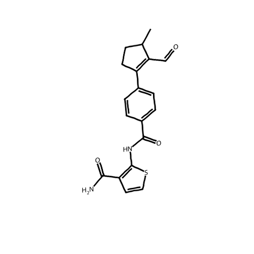 CC1CCC(c2ccc(C(=O)Nc3sccc3C(N)=O)cc2)=C1C=O